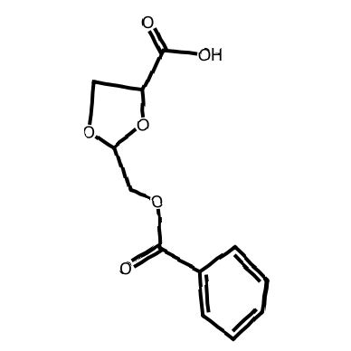 O=C(OCC1OCC(C(=O)O)O1)c1ccccc1